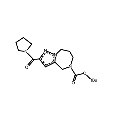 CC(C)(C)OC(=O)N1CCCn2nc(C(=O)N3CCCC3)cc2C1